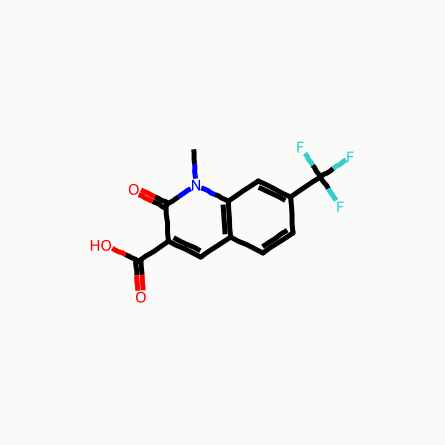 Cn1c(=O)c(C(=O)O)cc2ccc(C(F)(F)F)cc21